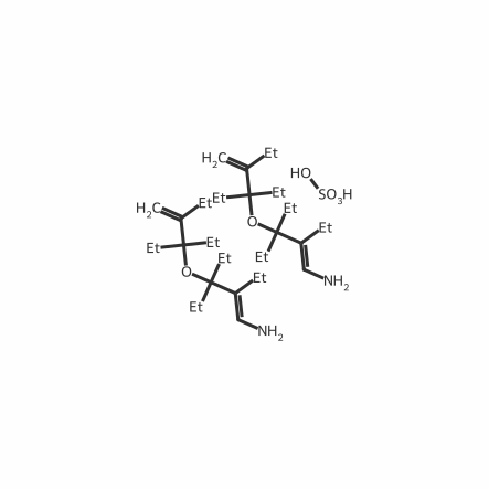 C=C(CC)C(CC)(CC)OC(CC)(CC)C(=CN)CC.C=C(CC)C(CC)(CC)OC(CC)(CC)C(=CN)CC.O=S(=O)(O)O